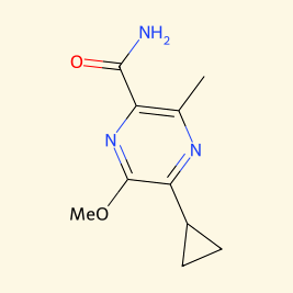 COc1nc(C(N)=O)c(C)nc1C1CC1